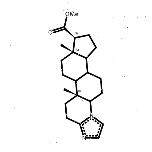 COC(=O)[C@H]1CCC2C3CCC4n5ccnc5CC[C@]4(C)C3CC[C@@]21C